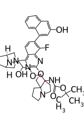 CC(C)(C)OC(=O)NCCOCC(O)CN1[C@@H]2CC[C@H]1CN(c1nc(OCC34CCCN3CCC4)nc3c(F)c(-c4cc(O)cc5ccccc45)ccc13)C2